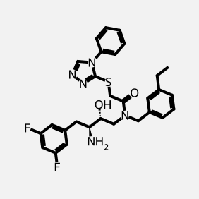 CCc1cccc(CN(C[C@@H](O)[C@@H](N)Cc2cc(F)cc(F)c2)C(=O)CSc2nncn2-c2ccccc2)c1